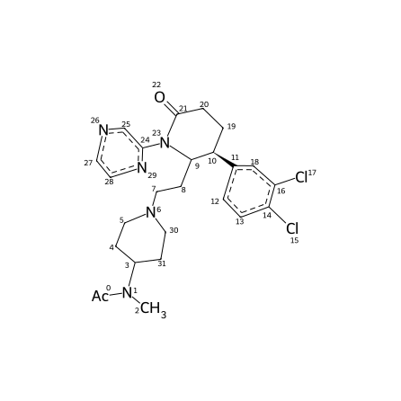 CC(=O)N(C)C1CCN(CCC2[C@H](c3ccc(Cl)c(Cl)c3)CCC(=O)N2c2cnccn2)CC1